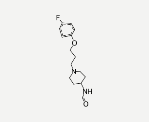 O=CNC1CCN(CCCOc2ccc(F)cc2)CC1